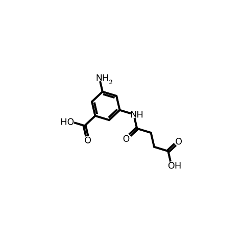 Nc1cc(NC(=O)CCC(=O)O)cc(C(=O)O)c1